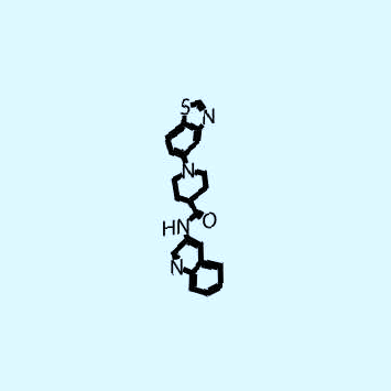 O=C(Nc1cnc2ccccc2c1)C1CCN(c2ccc3scnc3c2)CC1